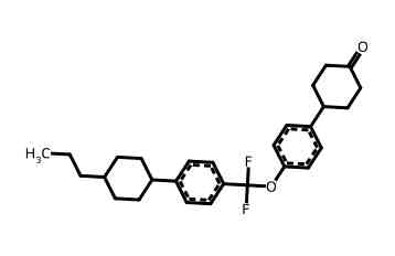 CCCC1CCC(c2ccc(C(F)(F)Oc3ccc(C4CCC(=O)CC4)cc3)cc2)CC1